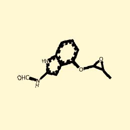 CC1OC1Oc1cccc2[nH]c(NC=O)cc12